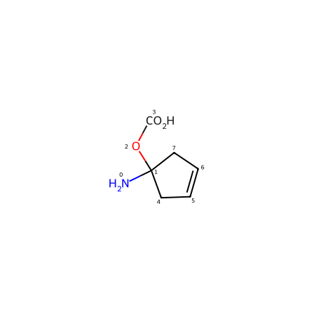 NC1(OC(=O)O)CC=CC1